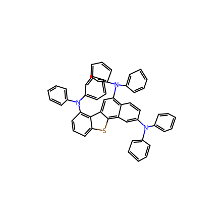 c1ccc(N(c2ccccc2)c2ccc3c(N(c4ccccc4)c4ccccc4)cc4c(sc5cccc(N(c6ccccc6)c6ccccc6)c54)c3c2)cc1